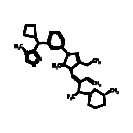 C=C/C(=C\N1C(=C)N(c2cccc(C(c3nncn3C)C3CCC3)c2)C=C1CC(F)(F)F)C(N1CCC[C@H](C)C1)C(F)(F)F